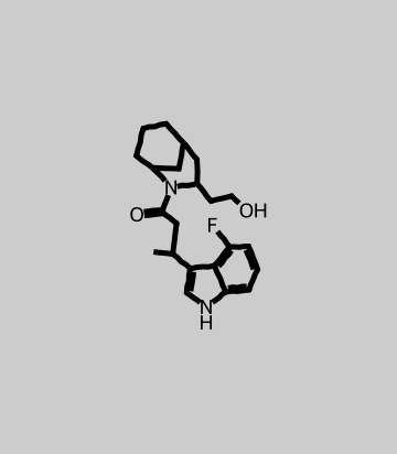 CC(CC(=O)N1C(CCO)CC2CCCC1C2)c1c[nH]c2cccc(F)c12